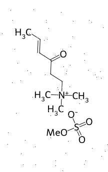 CC=CC(=O)CC[N+](C)(C)C.COS(=O)(=O)[O-]